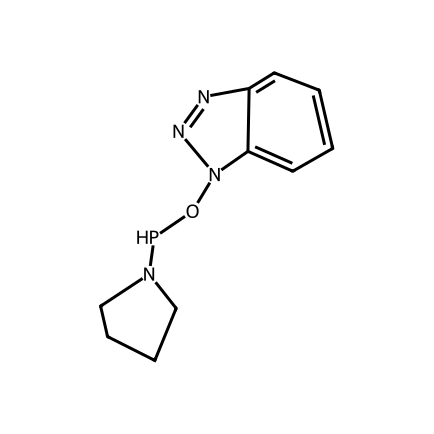 c1ccc2c(c1)nnn2OPN1CCCC1